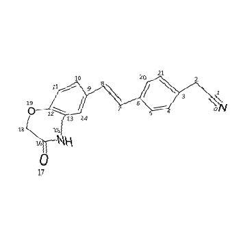 N#CCc1ccc(C=Cc2ccc3c(c2)NC(=O)CO3)cc1